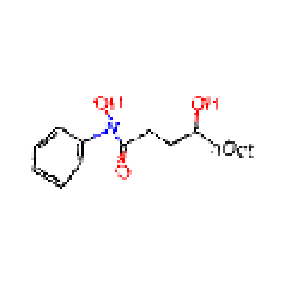 CCCCCCCCC(O)CCC(=O)N(O)c1ccccc1